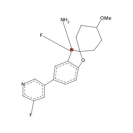 COC1CCC2(CC1)Oc1ccc(-c3cncc(F)c3)cc1C21C=C(F)C(N)=N1